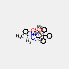 CCCCC1(NC(=O)OC(C)(C)C)C(C(CC)SC(c2ccccc2)(c2ccccc2)c2ccccc2)NCCN1C(=O)c1cccc(C)c1C